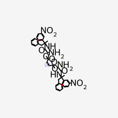 CC(Cc1ccccc1)(NC(=O)C(N)OC(=O)/C=C\C(=O)OC(N)C(=O)NC(C)(Cc1ccccc1)c1cccc([N+](=O)[O-])c1)c1cccc([N+](=O)[O-])c1